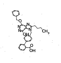 CCCCc1nc2c(OCc3ccccc3)nnc(O)c2n1Cc1ccc(-c2ccccc2C(=O)O)cc1